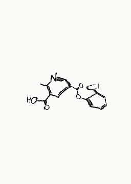 Cc1ncc(C(=O)Oc2ccccc2Cl)cc1C(=O)O